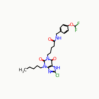 CCCCCn1c(=O)n(CCCCC(=O)NCc2ccc(OC(F)F)cc2)c(=O)c2[nH]c(Cl)nc21